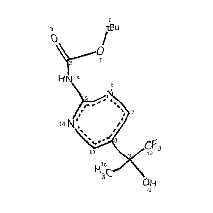 CC(C)(C)OC(=O)Nc1ncc(C(C)(O)C(F)(F)F)cn1